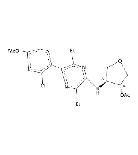 CCc1nc(-c2ccc(OC)cc2Cl)c(CC)nc1N[C@H]1COC[C@@H]1OC(C)=O